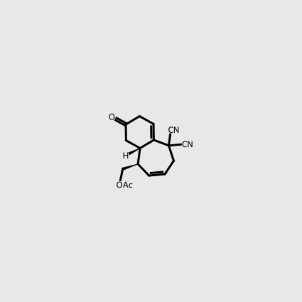 CC(=O)OC[C@@H]1C=CCC(C#N)(C#N)C2=CCC(=O)C[C@H]21